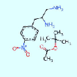 CC(=O)OC(C)(C)C.NCC(N)Cc1ccc([N+](=O)[O-])cc1